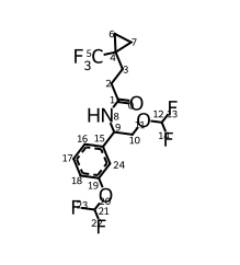 O=C(CCC1(C(F)(F)F)CC1)NC(COC(F)F)c1cccc(OC(F)F)c1